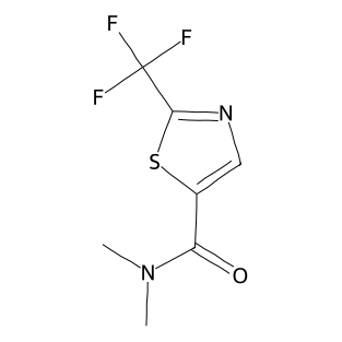 CN(C)C(=O)c1cnc(C(F)(F)F)s1